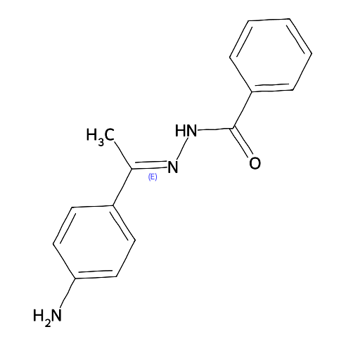 C/C(=N\NC(=O)c1ccccc1)c1ccc(N)cc1